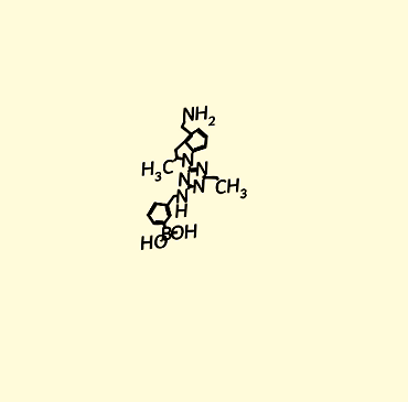 CCc1nc(NCc2cccc(B(O)O)c2)nc(N2c3cccc(CN)c3CC2C)n1